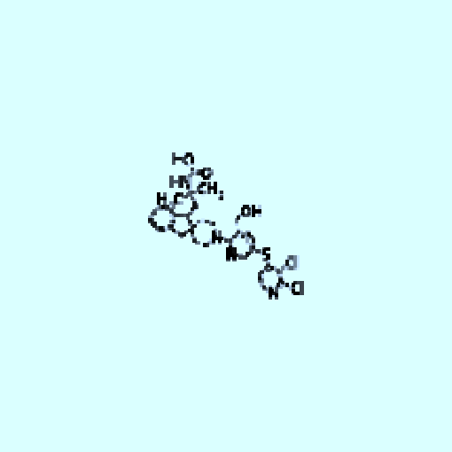 CC(C)(C[C@@H]1c2ccccc2CC12CCN(c1ncc(Sc3ccnc(Cl)c3Cl)nc1CO)CC2)NC(=O)O